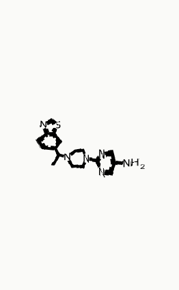 CC(c1ccc2ncsc2c1)N1CCN(c2ncc(N)cn2)CC1